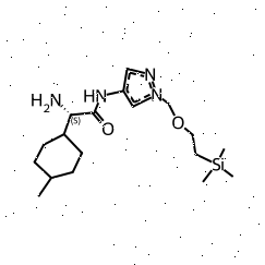 CC1CCC([C@H](N)C(=O)Nc2cnn(COCC[Si](C)(C)C)c2)CC1